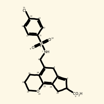 O=C(O)C1C=C2CC(CNS(=O)(=O)c3ccc(Cl)cc3)=C3CCCOC3=C2C1